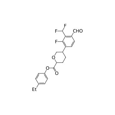 CCc1ccc(OC(=O)C2CCC(c3ccc(C=O)c(C(F)F)c3F)CO2)cc1